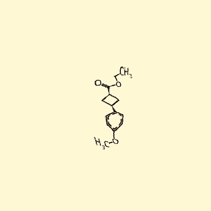 CCOC(=O)[C@H]1C[C@@H](c2ccc(OC)cc2)C1